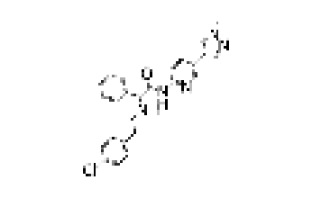 Cn1cc(-c2ccc(NC(=O)C(NCCc3ccc(Cl)cc3)c3ccccc3)nc2)cn1